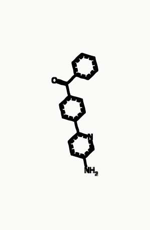 Nc1ccc(-c2ccc(C(=O)c3ccccc3)cc2)nc1